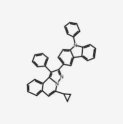 c1ccc(-c2c(-c3ccc4c(c3)c3ccccc3n4-c3ccccc3)nn3c(C4CC4)cc4ccccc4c23)cc1